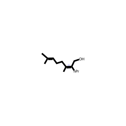 CCC/C(CO)=C(\C)CCC=C(C)C